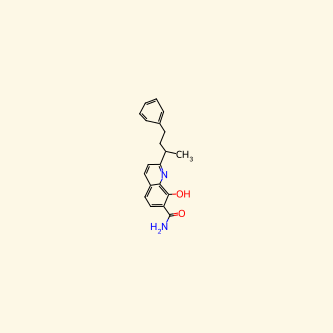 CC(CCc1ccccc1)c1ccc2ccc(C(N)=O)c(O)c2n1